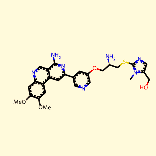 COc1cc2ncc3c(N)nc(-c4cncc(OC[C@@H](N)CSc5ncc(CO)n5C)c4)cc3c2cc1OC